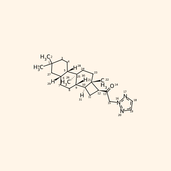 CC1(C)CC[C@H]2[C@H](CC[C@H]3[C@@H]4C[C@H](C(=O)Cn5nccn5)[C@@]4(C)CC[C@]23C)C1